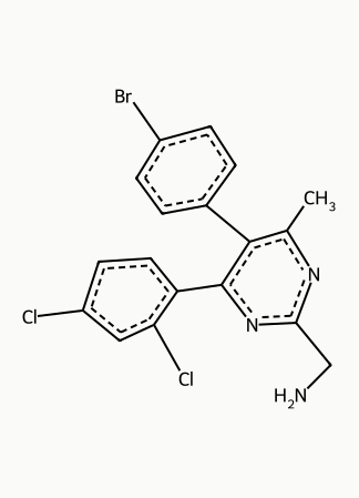 Cc1nc(CN)nc(-c2ccc(Cl)cc2Cl)c1-c1ccc(Br)cc1